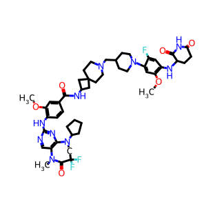 COc1cc(C(=O)NC2CC3(CCN(CC4CCN(c5cc(OC)c(NC6CCC(=O)NC6=O)cc5F)CC4)CC3)C2)ccc1Nc1ncc2c(n1)N(C1CCCC1)CC(F)(F)C(=O)N2C